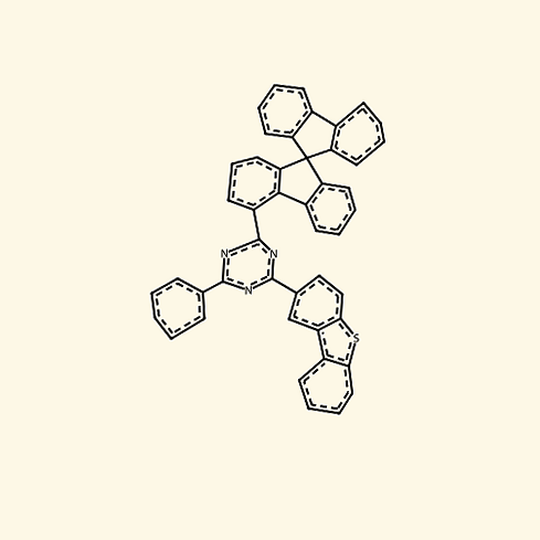 c1ccc(-c2nc(-c3ccc4sc5ccccc5c4c3)nc(-c3cccc4c3-c3ccccc3C43c4ccccc4-c4ccccc43)n2)cc1